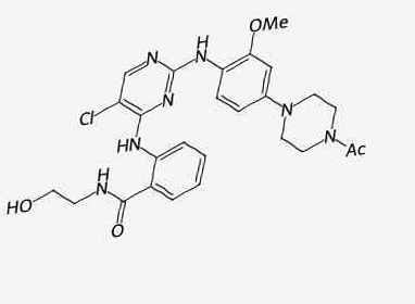 COc1cc(N2CCN(C(C)=O)CC2)ccc1Nc1ncc(Cl)c(Nc2ccccc2C(=O)NCCO)n1